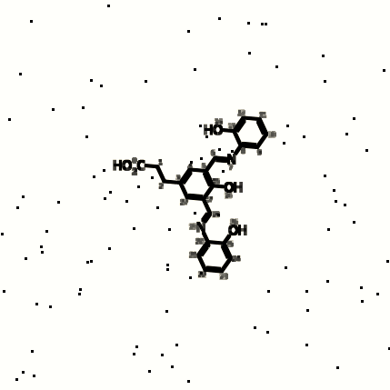 O=C(O)CCc1cc(C=Nc2ccccc2O)c(O)c(C=Nc2ccccc2O)c1